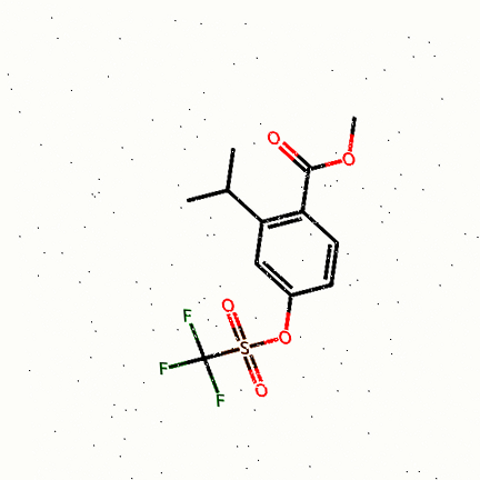 COC(=O)c1ccc(OS(=O)(=O)C(F)(F)F)cc1C(C)C